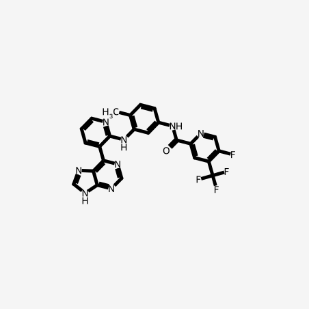 Cc1ccc(NC(=O)c2cc(C(F)(F)F)c(F)cn2)cc1Nc1ncccc1-c1ncnc2[nH]cnc12